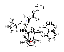 CCOC(=O)/C(F)=C/[C@@H](C[C@H]1CCNC1=O)NC(=O)[C@H]1[C@H]2CC[C@H](CC2(F)F)N1C(=O)[C@H](CC(C)C)Nc1cccc(Cl)c1